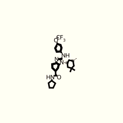 C[C@H]1C[C@@H](n2c(Nc3ccc(OC(F)(F)F)cc3)nc3ccc(C(=O)NC4CCCC4)cc32)CC(C)(C)C1